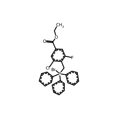 CCOC(=O)c1cc(F)c(CP(Br)(c2ccccc2)(c2ccccc2)c2ccccc2)c(Cl)c1